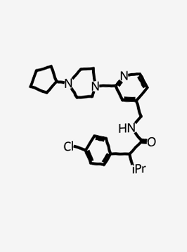 CC(C)C(C(=O)NCc1ccnc(N2CCN(C3CCCC3)CC2)c1)c1ccc(Cl)cc1